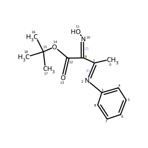 CC(=N\c1ccccc1)/C(=N/O)C(=O)OC(C)(C)C